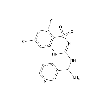 CC(NC1=NS(=O)(=O)c2c(Cl)cc(Cl)cc2N1)c1cccnc1